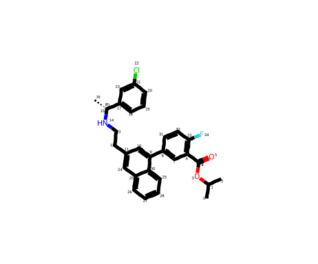 CC(C)OC(=O)c1cc(-c2cc(CCN[C@H](C)c3cccc(Cl)c3)cc3ccccc23)ccc1F